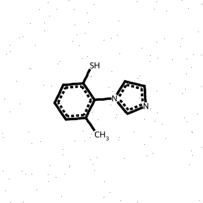 Cc1cccc(S)c1-n1ccnc1